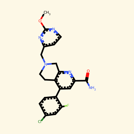 COc1nccc(CN2CCc3c(-c4ccc(Cl)cc4F)cc(C(N)=O)nc3C2)n1